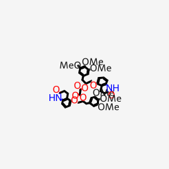 COc1cc(CC(COc2cccc3c2CCC(=O)N3)OC(=O)C(=O)OC(COc2cccc3c2CCC(=O)N3)Cc2cc(OC)c(OC)c(OC)c2)cc(OC)c1OC